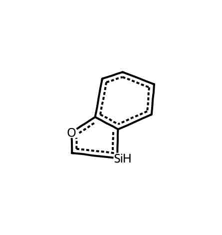 c1ccc2[siH]coc2c1